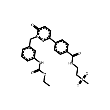 CCOC(=O)Nc1cccc(Cn2nc(-c3ccc(C(=O)NCCS(C)(=O)=O)cc3)ccc2=O)c1